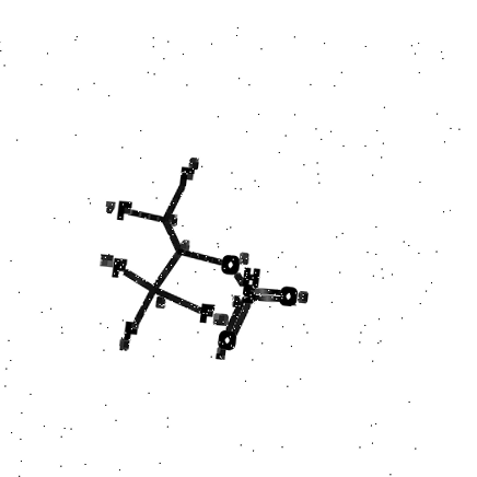 O=[SH](=O)OC(C(F)F)C(F)(F)F